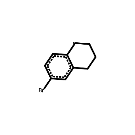 Brc1ccc2c(c1)CCC[C]2